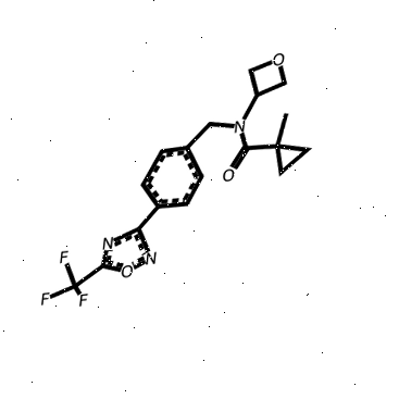 CC1(C(=O)N(Cc2ccc(-c3noc(C(F)(F)F)n3)cc2)C2COC2)CC1